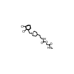 CNC(=O)COC(=O)NCCC1CCN(Cc2cccc(Cl)c2Cl)CC1